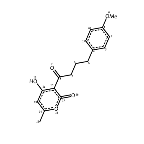 COc1ccc(CCCC(=O)c2c(O)cc(C)oc2=O)cc1